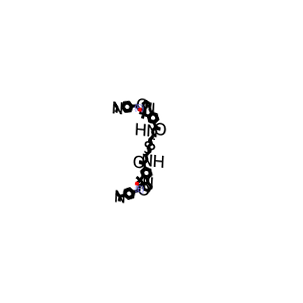 CN(C)c1ccc(/C=C/C23OCCN2c2ccc(C(=O)NCCSSCCNC(=O)c4ccc5c(c4)C(C)(C)C4(/C=C/c6ccc(N(C)C)cc6)OCCN54)cc2C3(C)C)cc1